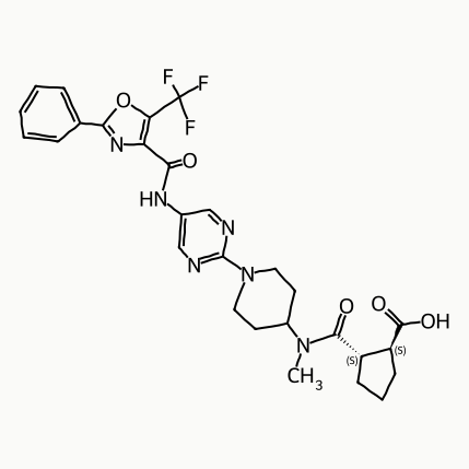 CN(C(=O)[C@H]1CCC[C@@H]1C(=O)O)C1CCN(c2ncc(NC(=O)c3nc(-c4ccccc4)oc3C(F)(F)F)cn2)CC1